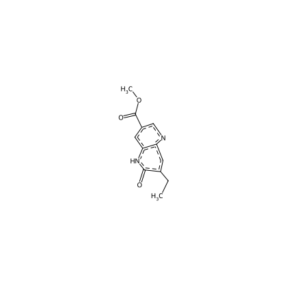 CCc1cc2ncc(C(=O)OC)cc2[nH]c1=O